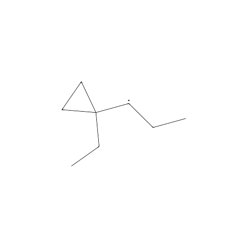 CC[CH]C1(CC)CC1